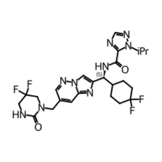 CC(C)n1ncnc1C(=O)N[C@H](c1cn2ncc(CN3CC(F)(F)CNC3=O)cc2n1)C1CCC(F)(F)CC1